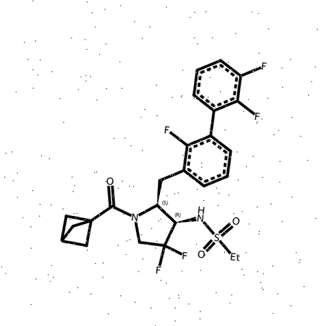 CCS(=O)(=O)N[C@@H]1[C@H](Cc2cccc(-c3cccc(F)c3F)c2F)N(C(=O)C23CC(C2)C3)CC1(F)F